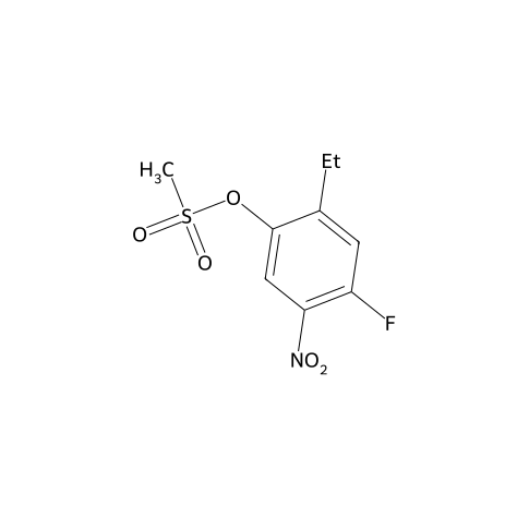 CCc1cc(F)c([N+](=O)[O-])cc1OS(C)(=O)=O